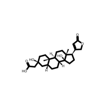 C[C@]12CC[C@@](O)(CC(=O)O)C[C@H]1CC[C@@H]1[C@@H]2CC[C@]2(C)[C@@H](C3=CC(=O)OC3)CC[C@]12O